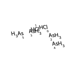 Cl.Cl.[AsH3].[AsH3].[AsH3].[AsH3]